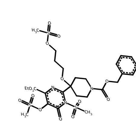 CCOC(=O)c1nc(C2(OCCCOS(C)(=O)=O)CCN(C(=O)OCc3ccccc3)CC2)n(S(C)(=O)=O)c(=O)c1OS(C)(=O)=O